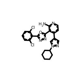 Nc1nccc(-c2cnn(C3CCCCC3)c2)c1-c1nnc(-c2c(Cl)cccc2Cl)o1